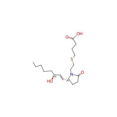 CCCCC[C@H](O)C=C[C@H]1CCC(=O)N1CCSCCCC(=O)O